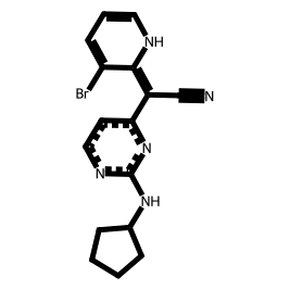 N#C/C(=C1\NC=CC=C1Br)c1ccnc(NC2CCCC2)n1